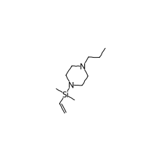 C=C[Si](C)(C)N1CCN(CCC)CC1